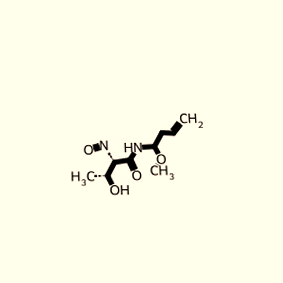 C=CCC(NC(=O)[C@@H](N=O)[C@@H](C)O)OC